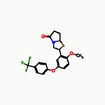 COc1ccc(Oc2ccc(C(F)(F)F)cc2)cc1C1CN2C(=O)CCC2S1